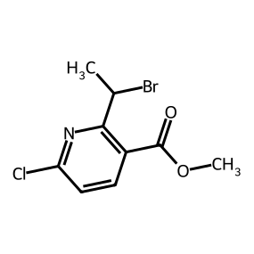 COC(=O)c1ccc(Cl)nc1C(C)Br